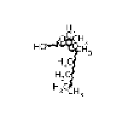 CC(C)=CCC/C(C)=C/CC/C(C)=C/CC[C@]1(C)CCc2c3c(c(C)c(C)c2O1)OCN(CCCCO)C3